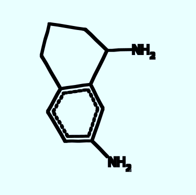 Nc1ccc2c(c1)C(N)CCC2